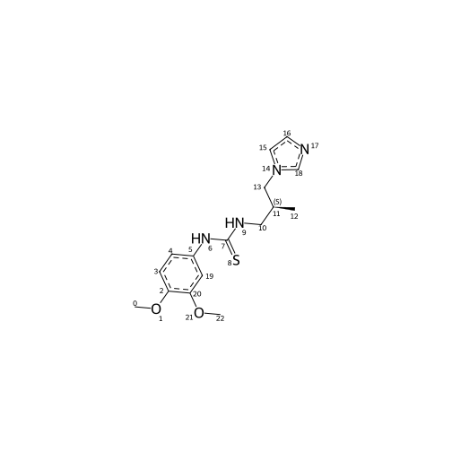 COc1ccc(NC(=S)NC[C@H](C)Cn2ccnc2)cc1OC